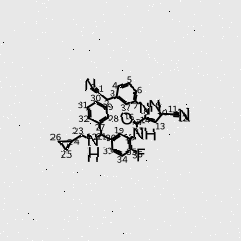 N#CCc1cccc(-n2nc(C#N)cc2C(=O)Nc2cc(C(NCC3CC3)c3ccccc3)ccc2F)c1